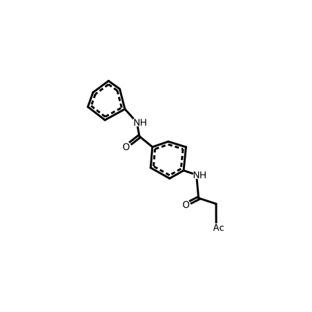 CC(=O)CC(=O)Nc1ccc(C(=O)Nc2ccccc2)cc1